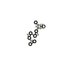 C1=CCCC(C2NC(c3ccccc3)=NC(c3ccc4c(c3)sc3cccc(-c5cccc6sc7ccc(-n8c9ccccc9c9ccccc98)cc7c56)c34)N2)=C1